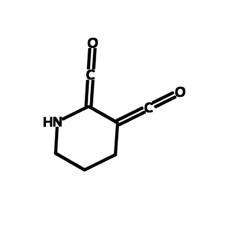 O=C=C1CCCNC1=C=O